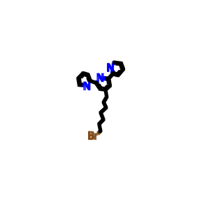 BrCCCCCCCc1cc(-c2ccccn2)nc(-c2ccccn2)c1